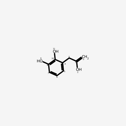 C=C(O)Cc1cccc(O)c1O